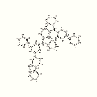 c1ccc(-c2ccc(-n3c4ccccc4c4ccc5c(c6ccccc6n5-c5nc(-c6ccccc6)nc(-c6ccc7c(c6)oc6ccccc67)n5)c43)cc2)cc1